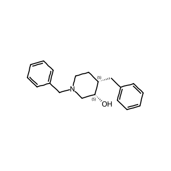 O[C@@H]1CN(Cc2ccccc2)CC[C@@H]1Cc1ccccc1